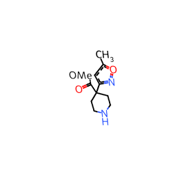 COC(=O)C1(c2cc(C)on2)CCNCC1